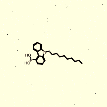 CCCCCCCCCCn1c2ccccc2c2c(B(O)O)cccc21